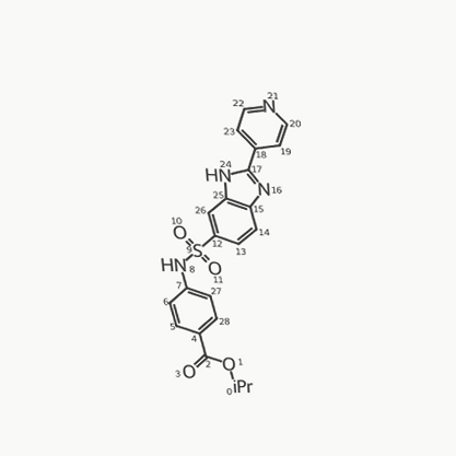 CC(C)OC(=O)c1ccc(NS(=O)(=O)c2ccc3nc(-c4ccncc4)[nH]c3c2)cc1